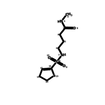 CNC(=O)CCCNS(=O)(=O)C1=CCCS1